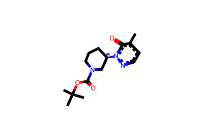 Cc1ccnn([C@@H]2CCCN(C(=O)OC(C)(C)C)C2)c1=O